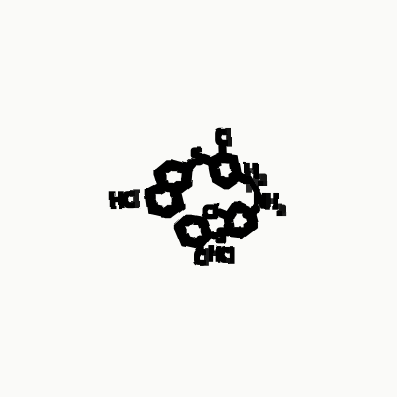 Cl.Cl.Nc1ccc(Sc2ccc3ccccc3c2)c(Cl)c1.Nc1ccc(Sc2ccccc2Cl)c(Cl)c1